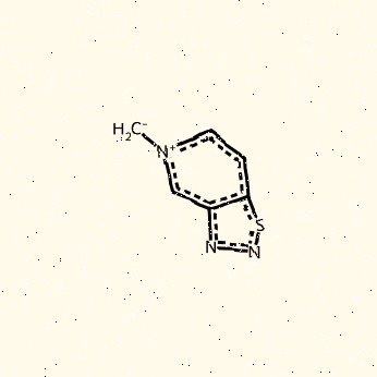 [CH2-][n+]1ccc2snnc2c1